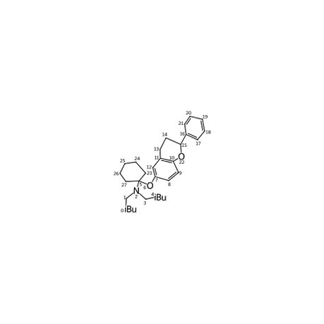 CCC(C)CN(CC(C)CC)C1(Oc2ccc3c(c2)CCC(c2ccccc2)O3)CCCCC1